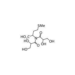 CSCCC(C(=O)O)N(C(=O)C(O)CO)C(=O)C(O)CO